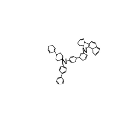 C1=CCC2C(=C1)C=CC1=C2N(C2=CC(C3C=CC(N(C4=CCC(C5=CCCC=C5)CC4)c4ccc(-c5ccccc5)cc4)=CC3)CC=C2)C2CCC=CC12